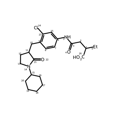 CCC(CC(=O)Nc1ccc(CC2CCN(C3CCCCC3)C2=O)c(Cl)c1)C(=O)O